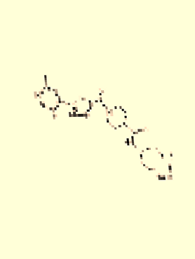 Cc1cc(-c2cc(C(=O)N3CCC(C(=O)N[C@H]4CC[C@@](O)(C(F)(F)F)CC4)CC3)n[nH]2)c(F)cn1